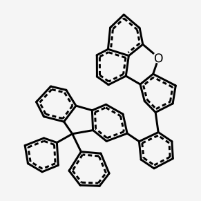 c1ccc(C2(c3ccccc3)c3ccccc3-c3ccc(-c4ccccc4-c4ccc5c(c4)-c4cccc6cccc(c46)O5)cc32)cc1